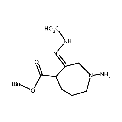 CC(C)(C)OC(=O)C1CCCN(N)CC1=NNC(=O)O